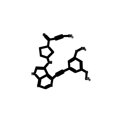 CC#CC(=O)N1CCC(Nc2c[nH]c3ncnc(C#Cc4cc(OC)cc(OC)c4)c23)C1